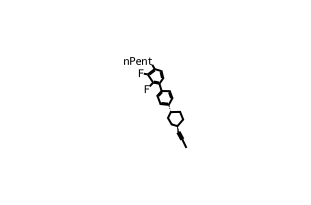 CC#C[C@H]1CC[C@H](c2ccc(-c3ccc(CCCCC)c(F)c3F)cc2)CC1